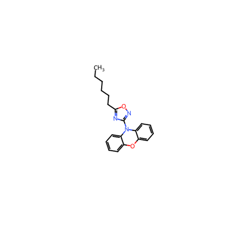 CCCCCCc1nc(N2c3ccccc3Oc3ccccc32)no1